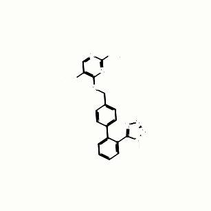 CCCc1cnc(C(F)(F)F)nc1NCc1ccc(-c2ccccc2-c2nnn[nH]2)cc1